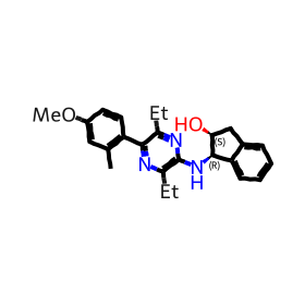 CCc1nc(-c2ccc(OC)cc2C)c(CC)nc1N[C@@H]1c2ccccc2C[C@@H]1O